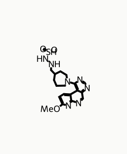 COc1ccc2c(ncc3ncnc(N4CCCC(CNN[SH](=O)=O)CC4)c32)n1